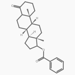 C[C@]12CCCC(=O)C1CC[C@@H]1[C@H]2CC[C@]2(C)C(OC(=O)c3ccccc3)CC[C@@H]12